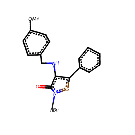 CCCCn1sc(-c2ccccc2)c(NCc2ccc(OC)cc2)c1=O